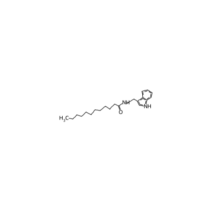 CCCCCCCCCCCC(=O)NCCc1c[nH]c2ccccc12